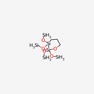 [SiH3]O[Si]1(O[SiH3])CCCO[Si]1(O[SiH3])O[SiH3]